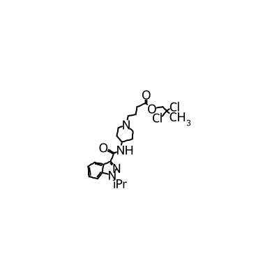 CC(C)n1nc(C(=O)NC2CCN(CCCC(=O)OCC(C)(Cl)Cl)CC2)c2ccccc21